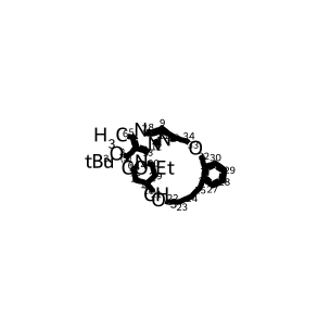 CCOC(=O)[C@@H](OC(C)(C)C)c1c(C)nc2cc3nn2c1N1CCC(C)(CC1)OCCCCc1ccccc1COC3